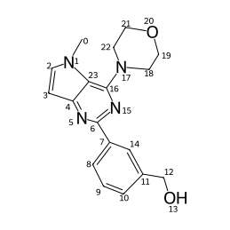 Cn1ccc2nc(-c3cccc(CO)c3)nc(N3CCOCC3)c21